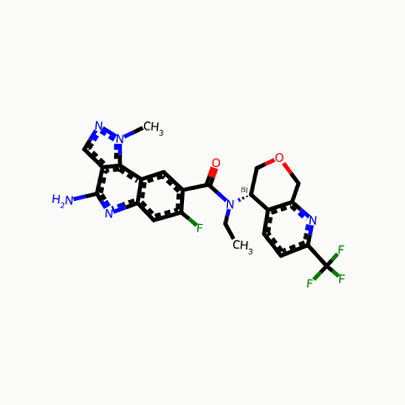 CCN(C(=O)c1cc2c(cc1F)nc(N)c1cnn(C)c12)[C@@H]1COCc2nc(C(F)(F)F)ccc21